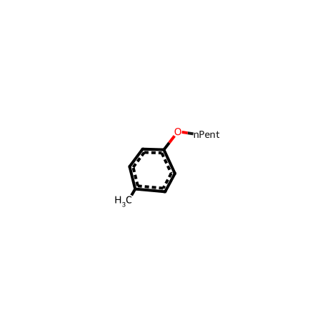 CCCCCOc1ccc(C)cc1